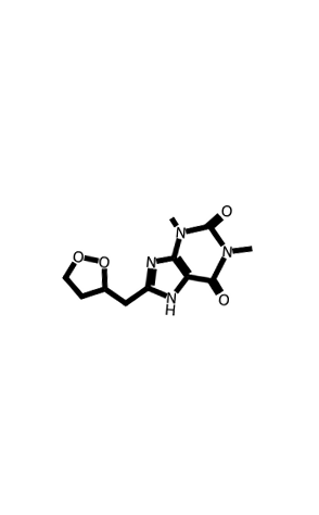 Cn1c(=O)c2[nH]c(CC3CCOO3)nc2n(C)c1=O